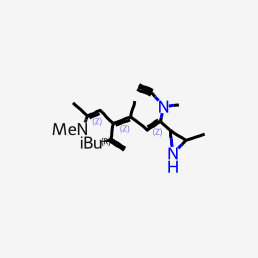 C#CN(C)\C(=C/C(C)=C(/C=C(/C)NC)C(=C)[C@H](C)CC)C1NC1C